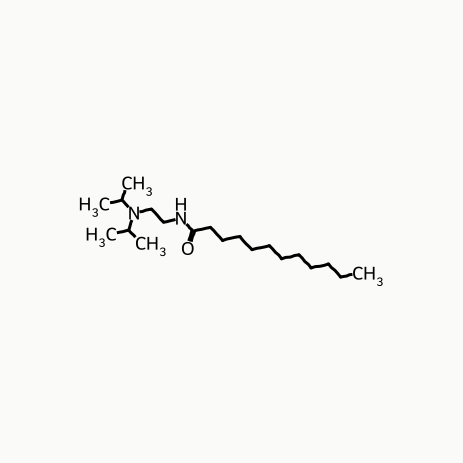 CCCCCCCCCCCC(=O)NCCN(C(C)C)C(C)C